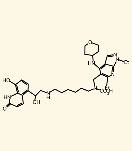 CCc1nc2c(cnn2CC)c(NC2CCOCC2)c1CN(CCCCCCNCC(O)c1ccc(O)c2[nH]c(=O)ccc12)C(=O)O